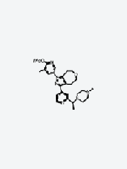 COc1ncc(-n2nc(-c3ccnc(C(C)N4CCN(C)CC4)c3)c3c2CCOCC3)cc1C